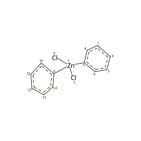 [Cl][Zn]([Cl])([c]1ccccc1)[c]1ccccc1